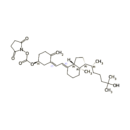 C=C1CC[C@H](OC(=O)ON2C(=O)CCC2=O)C/C1=C/C=C1\CCC[C@]2(C)[C@@H]([C@H](C)CCCC(C)(C)O)CC[C@@H]12